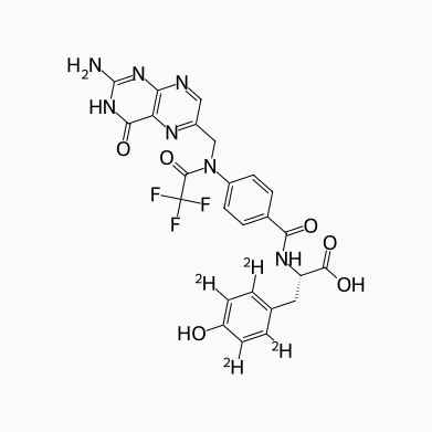 [2H]c1c([2H])c(C[C@H](NC(=O)c2ccc(N(Cc3cnc4nc(N)[nH]c(=O)c4n3)C(=O)C(F)(F)F)cc2)C(=O)O)c([2H])c([2H])c1O